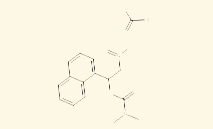 CN(C)C(=S)OC(C[N+](=O)[O-])c1cccc2ccccc12.NC(O)=S